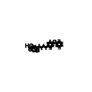 O=C(CCCCc1ccc(Oc2ccccc2)cc1)CP(=O)(O)O